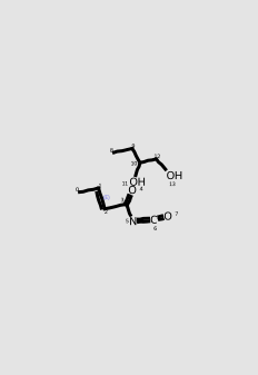 C/C=C/C(=O)N=C=O.CCC(O)CO